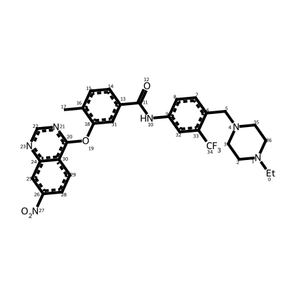 CCN1CCN(Cc2ccc(NC(=O)c3ccc(C)c(Oc4ncnc5cc([N+](=O)[O-])ccc45)c3)cc2C(F)(F)F)CC1